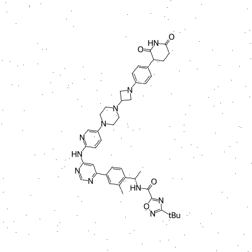 Cc1cc(-c2cc(Nc3ccc(N4CCN(C5CN(c6ccc(C7CCC(=O)NC7=O)cc6)C5)CC4)cn3)ncn2)ccc1C(C)NC(=O)c1nc(C(C)(C)C)no1